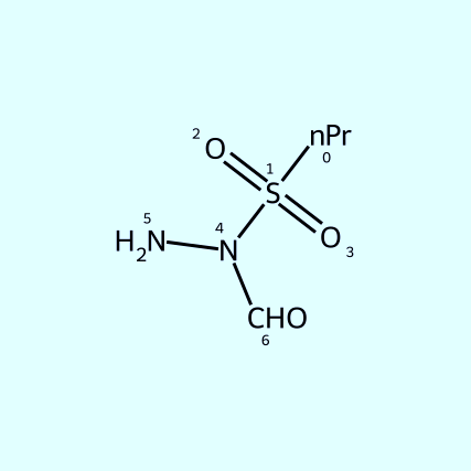 CCCS(=O)(=O)N(N)C=O